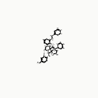 Clc1ccc(OCC2(C3(C(Cc4ccccc4)Oc4ccccc4OCc4ccccc4)NCCN3)NCCN2)c(Cl)c1